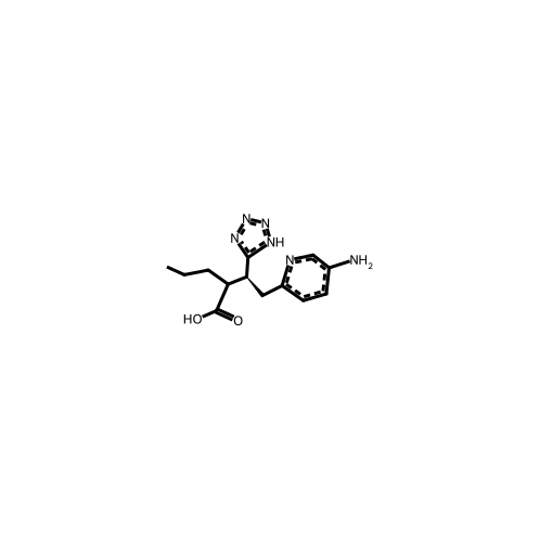 CCCC(C(=O)O)[C@H](Cc1ccc(N)cn1)c1nnn[nH]1